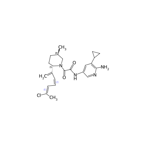 C=C(/C=C\C=C(/C)Cl)[C@@H]1CC[C@@H](C)CN1C(=O)C(=O)Nc1cnc(N)c(C2CC2)c1